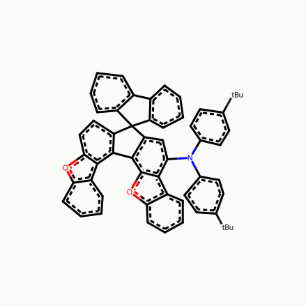 CC(C)(C)c1ccc(N(c2ccc(C(C)(C)C)cc2)c2cc3c(c4oc5ccccc5c24)-c2c(ccc4oc5ccccc5c24)C32c3ccccc3-c3ccccc32)cc1